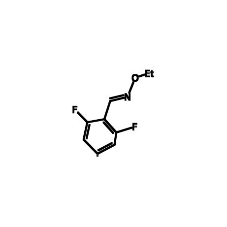 CCO/N=C/c1c(F)c[c]cc1F